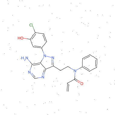 C=CC(=O)N(CCc1nn(-c2ccc(Cl)c(O)c2)c2c(N)ncnc12)c1ccccc1